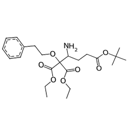 CCOC(=O)C(OCCc1ccccc1)(C(=O)OCC)C(N)CCC(=O)OC(C)(C)C